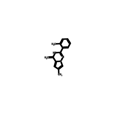 C=C1NC(c2ccccc2C)=Nn2cc(C)cc21